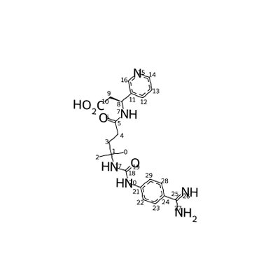 CC(C)(CCC(=O)N[C@@H](CC(=O)O)c1cccnc1)NC(=O)Nc1ccc(C(=N)N)cc1